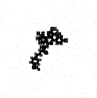 CC(=N)N1C(=N)[C@H](CNC(=O)CCCN2CCN(C)CC2)N=C(c2ccc(Cl)cc2)c2c1sc(C)c2C